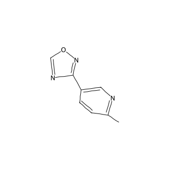 Cc1ccc(-c2ncon2)cn1